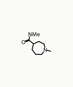 CNC(=O)C1CCCN(C)CC1